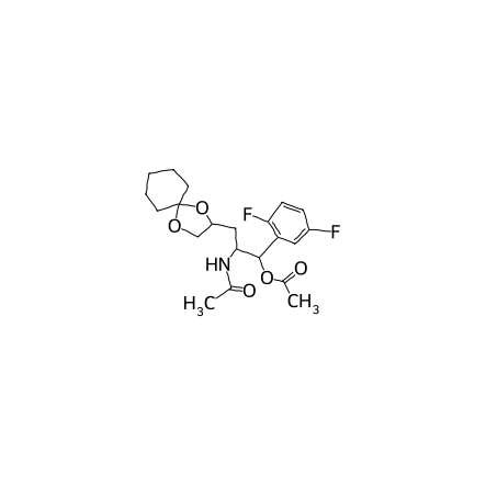 CC(=O)NC(CC1COC2(CCCCC2)O1)C(OC(C)=O)c1cc(F)ccc1F